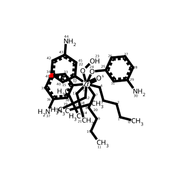 CCCC[CH2][Zr](=[O])([CH2]CCCC)([CH2]C(C)(C)C)([CH2]C(C)(C)C)([O]O)([O]c1cccc(N)c1)([c]1cccc(N)c1)[c]1cccc(N)c1